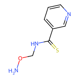 NOCNC(=S)c1cccnc1